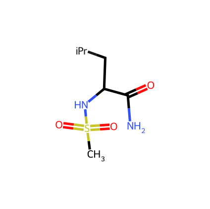 CC(C)CC(NS(C)(=O)=O)C(N)=O